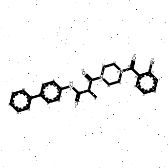 CC(C(=O)Nc1ccc(-c2ccccc2)cc1)C(=O)N1CCN(C(=O)c2ccccc2Br)CC1